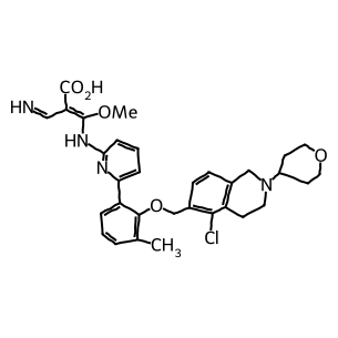 CO/C(Nc1cccc(-c2cccc(C)c2OCc2ccc3c(c2Cl)CCN(C2CCOCC2)C3)n1)=C(/C=N)C(=O)O